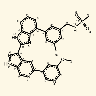 COc1cncc(-c2cc3c(-c4nc5c(-c6cc(F)cc(CNS(C)(=O)=O)c6)cccc5[nH]4)n[nH]c3cn2)c1